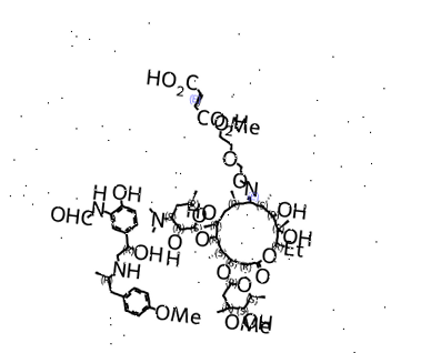 CC[C@H]1OC(=O)[C@H](C)[C@@H](O[C@H]2C[C@@](C)(OC)[C@@H](O)[C@H](C)O2)[C@H](C)[C@@H](O[C@@H]2O[C@H](C)C[C@H](N(C)C)[C@H]2O)[C@](C)(O)C[C@@H](C)/C(=N\OCOCCOC)[C@H](C)[C@@H](O)[C@]1(C)O.COc1ccc(C[C@@H](C)NC[C@H](O)c2ccc(O)c(NC=O)c2)cc1.O=C(O)/C=C/C(=O)O